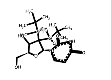 CC(C)(C)[Si](C)(C)C1([Si](C)(C)C(C)(C)C)C(O)[C@H](CO)O[C@@H]1n1ccc(=O)[nH]c1=O